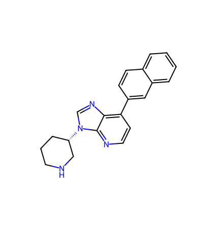 c1ccc2cc(-c3ccnc4c3ncn4[C@H]3CCCNC3)ccc2c1